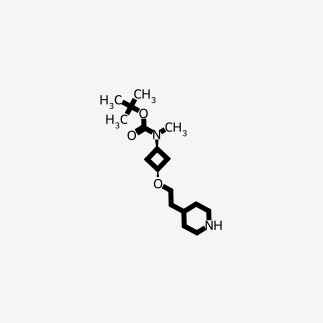 CN(C(=O)OC(C)(C)C)[C@H]1C[C@H](OCCC2CCNCC2)C1